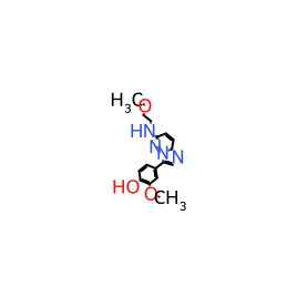 COCCNc1ccc2ncc(-c3ccc(O)c(OC)c3)n2n1